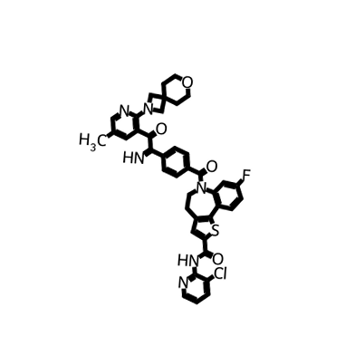 Cc1cnc(N2CC3(CCOCC3)C2)c(C(=O)C(=N)c2ccc(C(=O)N3CCc4cc(C(=O)Nc5ncccc5Cl)sc4-c4ccc(F)cc43)cc2)c1